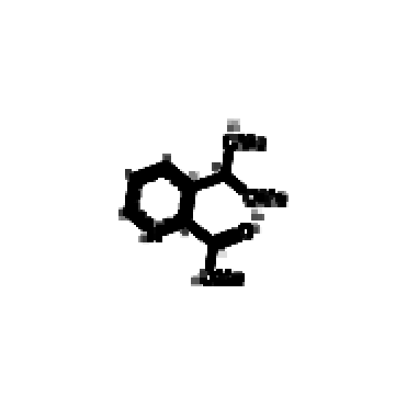 COC(=O)c1ncccc1C(OC)OC